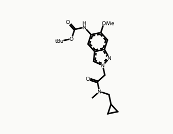 COc1cc2nn(CC(=O)N(C)CC3CC3)cc2cc1NC(=O)OC(C)(C)C